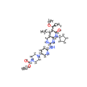 C=C(OCCC)c1c(C)c2cnc(Nc3ccc(N4CCN(C(=O)OC(C)(C)C)CC4)cn3)nc2n(C2CCCC2)c1=O